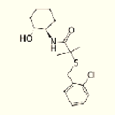 CC(C)(SCc1ccccc1Cl)C(=O)N[C@@H]1CCCC[C@H]1O